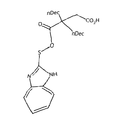 CCCCCCCCCCC(CCCCCCCCCC)(CC(=O)O)C(=O)OSc1nc2ccccc2[nH]1